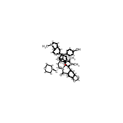 Cc1c(C(=O)N(c2ccc(O)cc2)c2cc3ccn(C)c3cn2)cc(-c2cc3c(cc2C(=O)N2Cc4ccccc4C[C@H]2CN2CCOCC2)OCO3)n1C